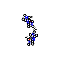 CC(C)c1ccc(N(c2ccccc2)c2c3ccccc3cc3c2c2cccc4c5c(N(c6ccccc6)c6ccc(C(C)C(C)(C)c7ccc(N(c8ccccc8)c8c9ccccc9cc9c8c8cccc%10c%11c(N(c%12ccccc%12)c%12ccc(C(C)(C)C)cc%12)c%12ccccc%12cc%11n9c%108)cc7)cc6)c6ccccc6cc5n3c24)cc1